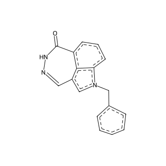 O=C1NN=Cc2cn(Cc3ccccc3)c3cccc1c23